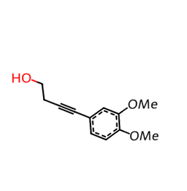 COc1ccc(C#CCCO)cc1OC